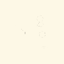 COCCc1ccc(-c2c(Cl)c3ccccc3n2C2CCC(C(=O)N3CCOCC3C3CC3)CC2)cc1